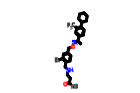 CCc1cc(CO/N=C(\C)c2ccc(C3CCCCC3)c(C(F)(F)F)c2)ccc1CNCCC(=O)N=O